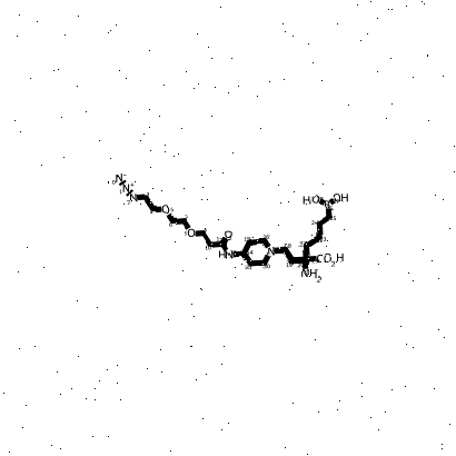 [N-]=[N+]=NCCOCCOCCC(=O)NC1CCN(CCC(N)(CCCCB(O)O)C(=O)O)CC1